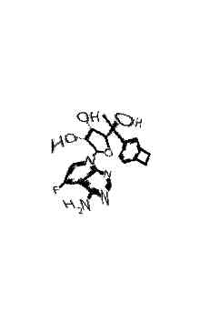 CC(O)(c1ccc2c(c1)CC2)[C@H]1O[C@@H](n2cc(F)c3c(N)ncnc32)[C@H](O)[C@@H]1O